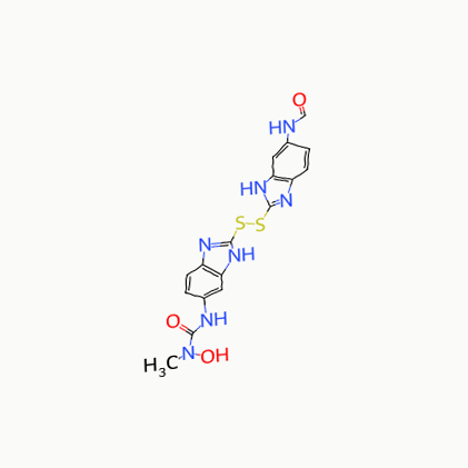 CN(O)C(=O)Nc1ccc2nc(SSc3nc4ccc(NC=O)cc4[nH]3)[nH]c2c1